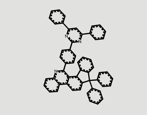 c1ccc(-c2cc(-c3ccccc3)nc(-c3ccc(-c4nc5ccccc5c5ccc6c(c45)-c4ccccc4C6(c4ccccc4)c4ccccc4)cc3)n2)cc1